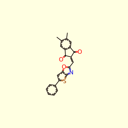 Cc1cc2c(cc1C)C(=O)C(=Cc1nc3sc(-c4ccccc4)cc3o1)C2=O